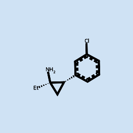 CC[C@@]1(N)C[C@H]1c1cccc(Cl)c1